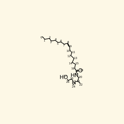 CCCCCCCC/C=C\CCCCCCCC(=O)NCC(C)N(C)CCO